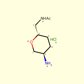 CC(=O)NC[C@@H]1CC[C@@H](N)CO1.Cl